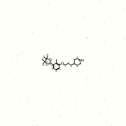 Cc1c(OCCCC2CCNCC2)cccc1B1OC(C)(C)C(C)(C)O1